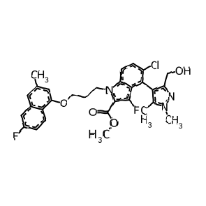 COC(=O)c1c(F)c2c(-c3c(CO)nn(C)c3C)c(Cl)ccc2n1CCCOc1cc(C)cc2cc(F)ccc12